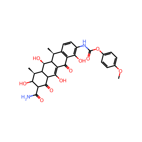 COc1ccc(OC(=O)Nc2ccc3c(c2O)C(=O)C2=C(O)C4C(=O)C(C(N)=O)C(O)[C@@H](C)C4[C@@H](O)C2[C@H]3C)cc1